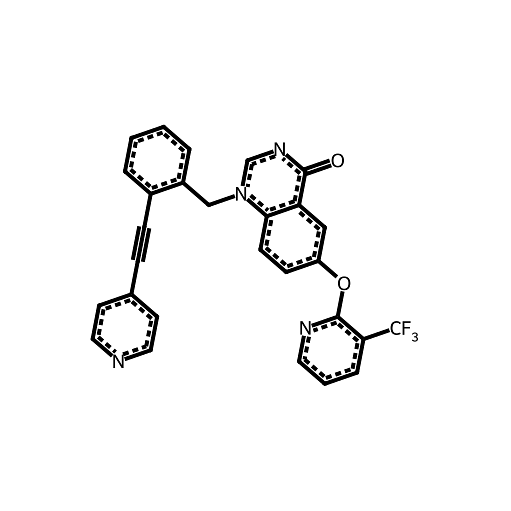 O=c1ncn(Cc2ccccc2C#Cc2ccncc2)c2ccc(Oc3ncccc3C(F)(F)F)cc12